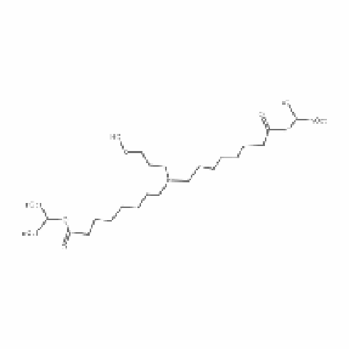 CCCCCCCCC(CC)OC(=O)CCCCCCCN(CCCCCCCC(=O)OC(CCCCCCCC)CCCCCCCC)CCCSO